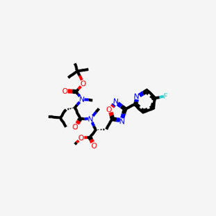 COC(=O)[C@@H](Cc1nc(-c2ccc(F)cn2)no1)N(C)C(=O)[C@H](CC(C)C)N(C)C(=O)OC(C)(C)C